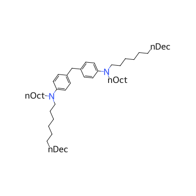 CCCCCCCCCCCCCCCCN(CCCCCCCC)c1ccc(Cc2ccc(N(CCCCCCCC)CCCCCCCCCCCCCCCC)cc2)cc1